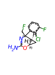 NC1=N[C@](CF)(c2cccc(F)c2Cl)[C@H]2C[C@H]2O1